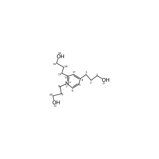 OCCCc1cc[n+](CCCO)c(CCCO)c1